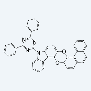 C1=CC(c2nc(-c3ccccc3)nc(-n3c4ccccc4c4c5c(ccc43)OC3c4c(ccc6ccccc46)C=CC3O5)n2)=CCC1